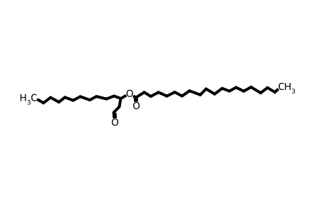 CCCCCCCCCCCCCCCCCCCC(=O)OC(CC=O)CCCCCCCCCCC